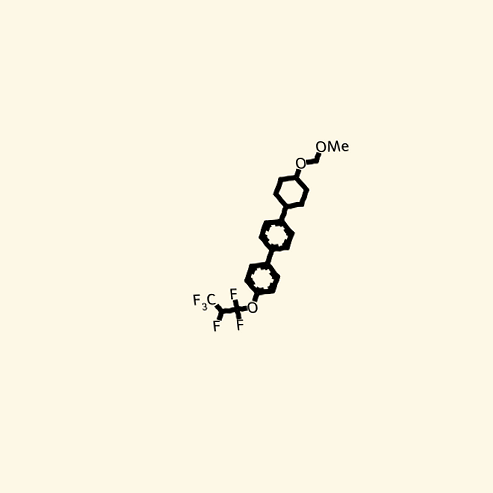 COCOC1CCC(c2ccc(-c3ccc(OC(F)(F)C(F)C(F)(F)F)cc3)cc2)CC1